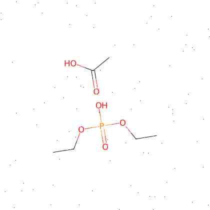 CC(=O)O.CCOP(=O)(O)OCC